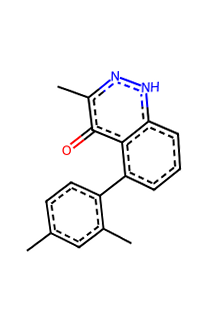 Cc1ccc(-c2cccc3[nH]nc(C)c(=O)c23)c(C)c1